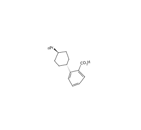 CCC[C@H]1CC[C@H](c2ccccc2C(=O)O)CC1